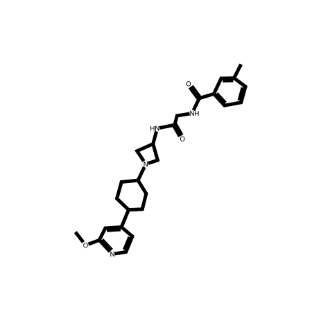 COc1cc(C2CCC(N3CC(NC(=O)CNC(=O)c4cccc(C)c4)C3)CC2)ccn1